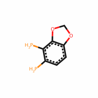 Pc1ccc2c(c1P)OCO2